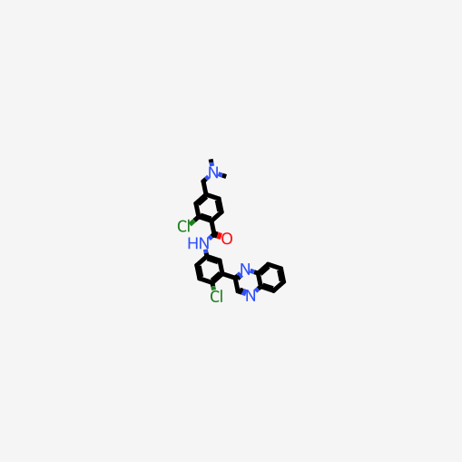 CN(C)Cc1ccc(C(=O)Nc2ccc(Cl)c(-c3cnc4ccccc4n3)c2)c(Cl)c1